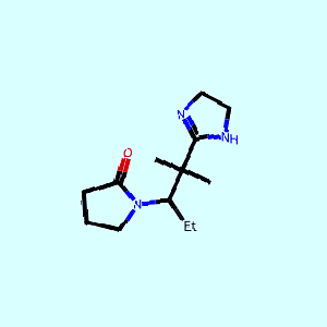 CCC(N1CCCC1=O)C(C)(C)C1=NCCN1